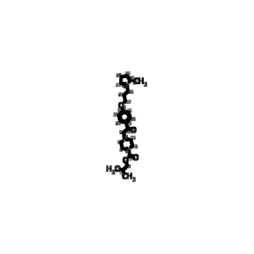 CC(C)COC(=O)N1CCN(CC(=O)c2ccc(OCCCN3CCC[C@H]3C)cc2)CC1